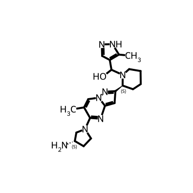 Cc1cn2nc([C@@H]3CCCCN3C(O)c3cn[nH]c3C)cc2nc1N1CC[C@H](N)C1